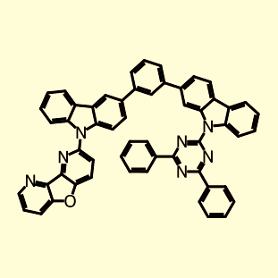 c1ccc(-c2nc(-c3ccccc3)nc(-n3c4ccccc4c4ccc(-c5cccc(-c6ccc7c(c6)c6ccccc6n7-c6ccc7oc8cccnc8c7n6)c5)cc43)n2)cc1